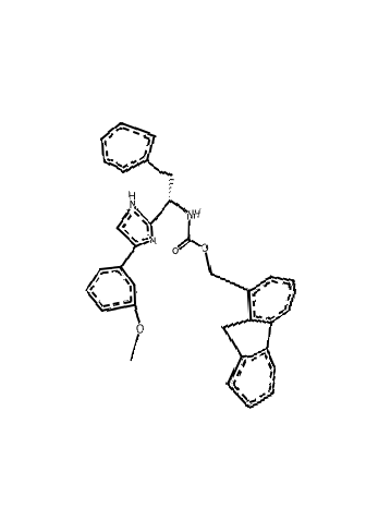 COc1cccc(-c2c[nH]c([C@H](Cc3ccccc3)NC(=O)OCc3cccc4c3Cc3ccccc3-4)n2)c1